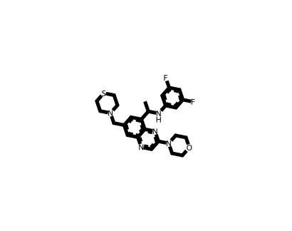 CC(Nc1cc(F)cc(F)c1)c1cc(CN2CCSCC2)cc2ncc(N3CCOCC3)nc12